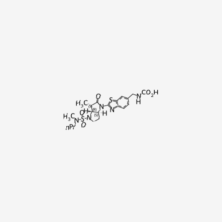 CCCN(C)S(=O)(=O)N1CC[C@H]2[C@H]1[C@H](C)C(=O)N2c1nc2ccc(CNC(=O)O)cc2s1